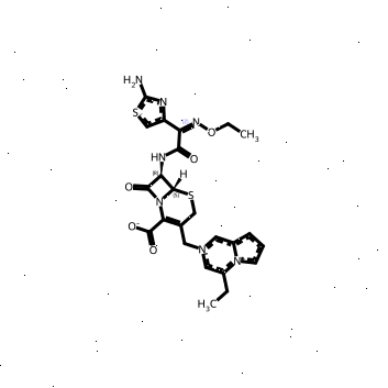 CCO/N=C(\C(=O)N[C@@H]1C(=O)N2C(C(=O)[O-])=C(Cn3cc4ccc[n+]-4c(CC)c3)CS[C@@H]12)c1csc(N)n1